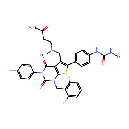 CCNC(=O)Nc1ccc(-c2sc3c(c2CN(C)CCC(=O)NC)c(=O)n(-c2ccc(F)cc2)c(=O)n3Cc2c(F)cccc2F)cc1